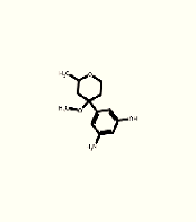 COC1(c2cc(N)cc(O)c2)CCOC(C)C1